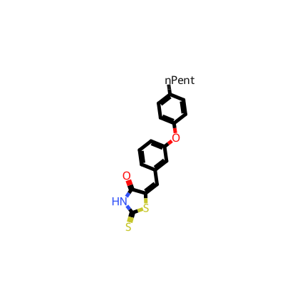 CCCCCc1ccc(Oc2cccc(C=C3SC(=S)NC3=O)c2)cc1